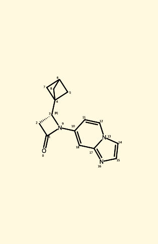 O=C1C[C@H](C23CC(C2)C3)N1c1ccn2ccnc2c1